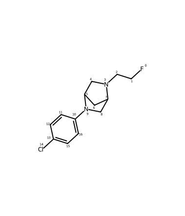 FCCN1CC2CC1CN2c1ccc(Cl)cc1